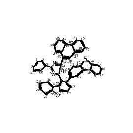 c1ccc(C2=NC(c3c(-c4ccc5sc6ccccc6c5c4)ccc4oc5ccccc5c34)NC(c3cc4ccccc4c4ccccc34)=N2)cc1